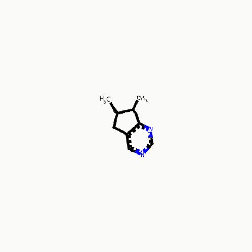 CC1Cc2cn[c]nc2C1C